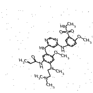 C=CC(=O)Nc1cc(Nc2cc(Nc3ccc(OC)c(S(=O)(=O)NC)c3)ncn2)c(OC)cc1N(C)CCN(C)C